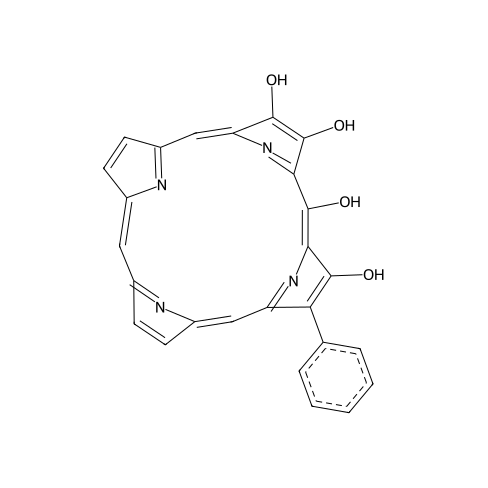 OC1=C(O)C2=NC1=CC1=NC(=CC3=NC(=CC4=NC(=C2O)C(O)=C4c2ccccc2)C=C3)C=C1